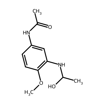 COc1ccc(NC(C)=O)cc1NC(C)O